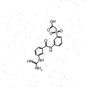 N=C(N)Nc1cccc(C(=O)Nc2cccc(S(=O)(=O)CC(=O)O)c2)c1